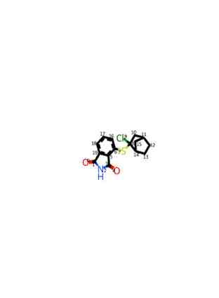 O=C1NC(=O)c2c(SC3(Cl)CC4CCC3C4)cccc21